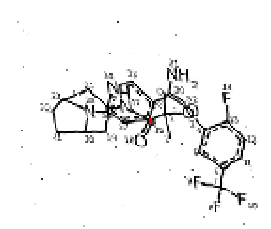 CC(C)(Oc1cc(C(F)(F)F)ccc1F)C(=O)NC1CC2CCC(C1)N2c1ccc(C(N)=O)cn1